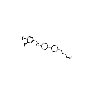 C/C=C\CCC[C@H]1CC[C@H](C2CCC(OCc3ccc(F)c(F)c3)CC2)CC1